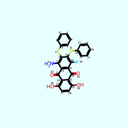 Nc1c(Sc2ccccc2)c(Sc2ccccc2)c(F)c2c1C(=O)c1c(O)ccc(O)c1C2=O